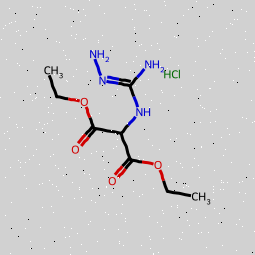 CCOC(=O)C(NC(N)=NN)C(=O)OCC.Cl